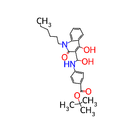 CCCCCCn1c(=O)c(C(O)Nc2ccc(C(=O)OC(C)(C)C)cc2)c(O)c2ccccc21